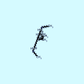 CCCCCC/C=C\CNC(=O)CCCCCCCC(CCCCCCCC(=O)NC/C=C\CCCCCC)OC(=O)CC(C)(C)CC(C)CN(C)C